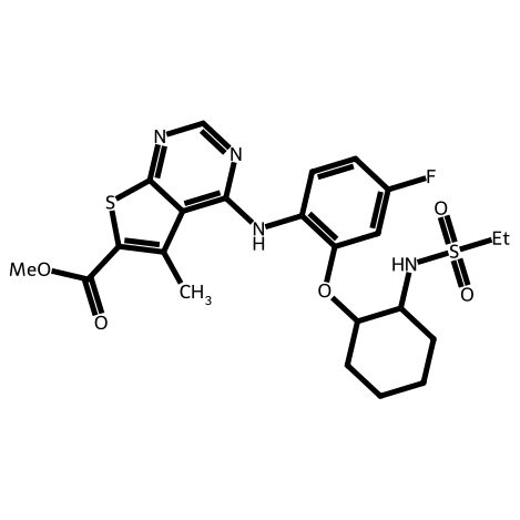 CCS(=O)(=O)NC1CCCCC1Oc1cc(F)ccc1Nc1ncnc2sc(C(=O)OC)c(C)c12